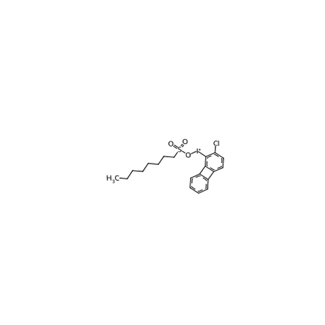 CCCCCCCCS(=O)(=O)O[I+]c1c(Cl)ccc2c1-c1ccccc1-2